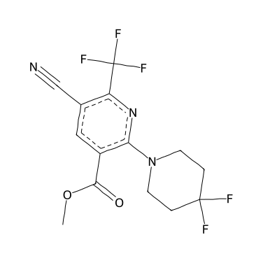 COC(=O)c1cc(C#N)c(C(F)(F)F)nc1N1CCC(F)(F)CC1